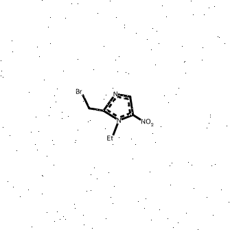 CCn1c([N+](=O)[O-])cnc1CBr